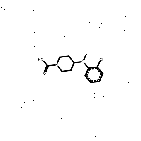 CN(c1ccccc1Cl)C1CCN(C(=O)O)CC1